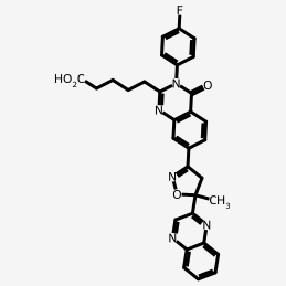 CC1(c2cnc3ccccc3n2)CC(c2ccc3c(=O)n(-c4ccc(F)cc4)c(CCCCC(=O)O)nc3c2)=NO1